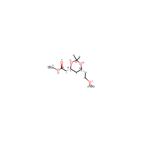 CCCCOCC[C@@H]1C[C@H](CC(=O)OC(C)(C)C)OC(C)(C)O1